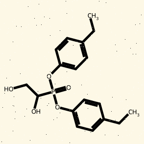 CCc1ccc(OP(=O)(Oc2ccc(CC)cc2)C(O)CO)cc1